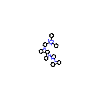 c1ccc(-c2nc(-c3ccccc3)nc(-c3cccc(-n4c5ccccc5c5c6c7ccccc7n(-c7cccc(-n8c9ccccc9c9ccccc98)n7)c6ccc54)c3)n2)cc1